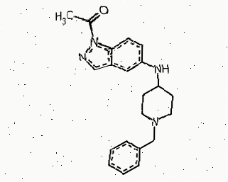 CC(=O)n1ncc2cc(NC3CCN(Cc4ccccc4)CC3)ccc21